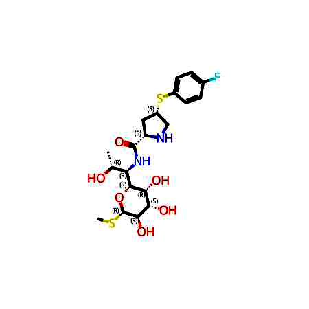 CS[C@H]1O[C@H]([C@H](NC(=O)[C@@H]2C[C@H](Sc3ccc(F)cc3)CN2)[C@@H](C)O)[C@H](O)[C@H](O)[C@H]1O